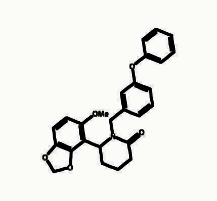 COc1ccc2c(c1C1CCCC(=O)N1Cc1cccc(Oc3ccccc3)c1)OCO2